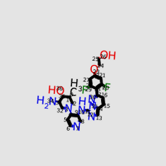 C[C@H]1CN(c2ccncc2Nc2ncc3ccc(-c4c(F)cc(OCCO)cc4F)nn23)C[C@@H](N)[C@@H]1O